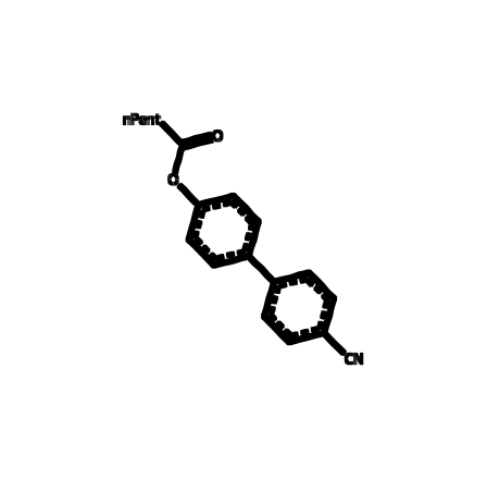 CCCCCC(=O)Oc1ccc(-c2ccc(C#N)cc2)cc1